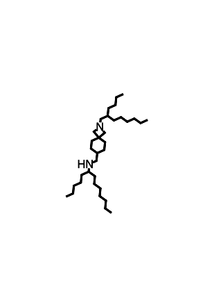 CCCCCCCC(CCCCC)NCC1CCC2(CC1)CN(CC(CCCC)CCCCCC)C2